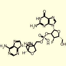 Nc1nc2c(ncn2[C@@H]2O[C@H](CO)[C@@H](F)[C@H]2OP(=O)(O)OCC23CO[C@@H]([C@H](n4cnc5c(N)ncnc54)O2)[C@@H]3O)c(=O)[nH]1